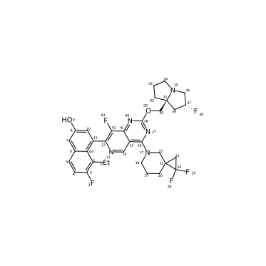 CCc1c(F)ccc2cc(O)cc(-c3ncc4c(N5CCCC6(C5)CC6(F)F)nc(OC[C@@]56CCCN5C[C@H](F)C6)nc4c3F)c12